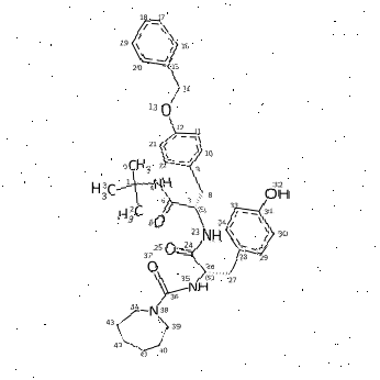 CC(C)(C)NC(=O)[C@H](Cc1ccc(OCc2ccccc2)cc1)NC(=O)[C@H](Cc1ccc(O)cc1)NC(=O)N1CCCCCC1